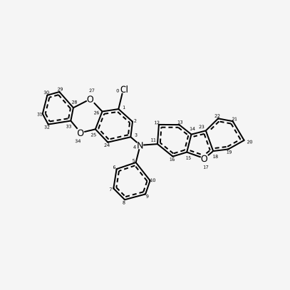 Clc1cc(N(c2ccccc2)c2ccc3c(c2)oc2ccccc23)cc2c1Oc1ccccc1O2